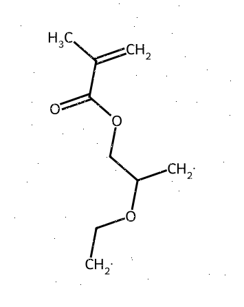 [CH2]COC([CH2])COC(=O)C(=C)C